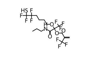 C=C(C(=O)OC(OCCCCC(F)(F)C(F)(F)S)(C(=O)NCCC)C(F)(F)F)C(F)(F)F